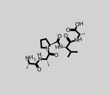 CC(C)[C@H](NC(=O)[C@@H]1CCCN1C(=O)[C@H](C)NC(=O)[C@H](C)N)C(=O)N[C@@H](C)C(=O)O